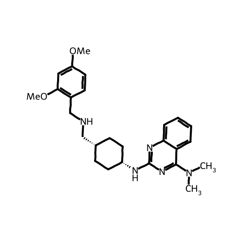 COc1ccc(CNC[C@H]2CC[C@@H](Nc3nc(N(C)C)c4ccccc4n3)CC2)c(OC)c1